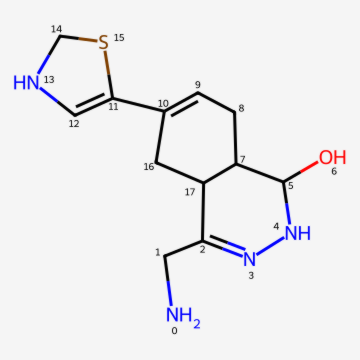 NCC1=NNC(O)C2CC=C(C3=CNCS3)CC12